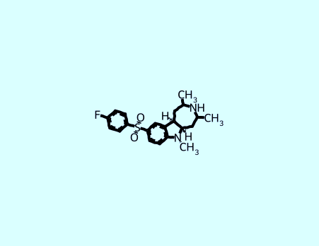 CC1C[C@@H]2c3cc(S(=O)(=O)c4ccc(F)cc4)ccc3N(C)[C@H]2CC(C)N1